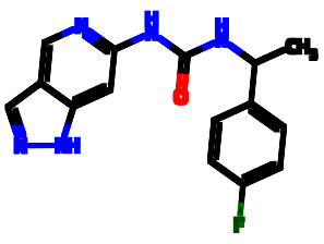 CC(NC(=O)Nc1cc2[nH]ncc2cn1)c1ccc(F)cc1